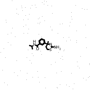 CC(C)NC(=O)c1cccc(C2(C)CCSC(N)=N2)c1